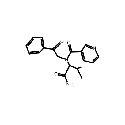 CC(C)C(C(N)=O)N(CC(=O)c1ccccc1)C(=O)c1cccnc1